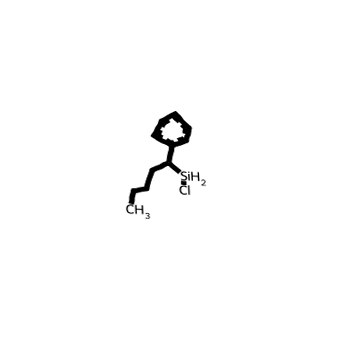 CCCCC([SiH2]Cl)c1ccccc1